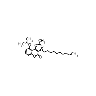 CCCCCCCCCCOc1c(OC(C)=O)c2c(OC(C)C)cccc2oc1=O